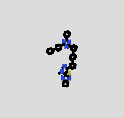 C=Nc1c(/C(=N\C)c2cccc(-c3ccc(-c4cccc(-c5nc(-c6ccccc6)nc(-c6ccc(-c7ccccc7)cc6)n5)c4)cc3)c2)sc2nc3ccccc3nc12